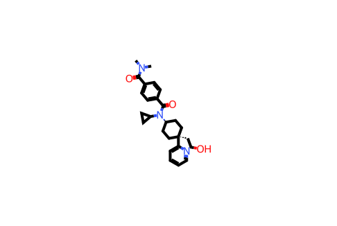 CN(C)C(=O)c1ccc(C(=O)N(C2CC2)[C@H]2CC[C@](CCO)(c3ccccn3)CC2)cc1